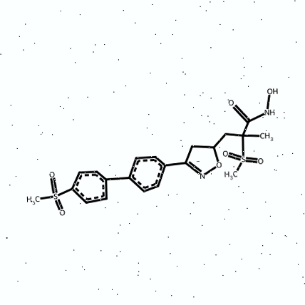 CC(CC1CC(c2ccc(-c3ccc(S(C)(=O)=O)cc3)cc2)=NO1)(C(=O)NO)S(C)(=O)=O